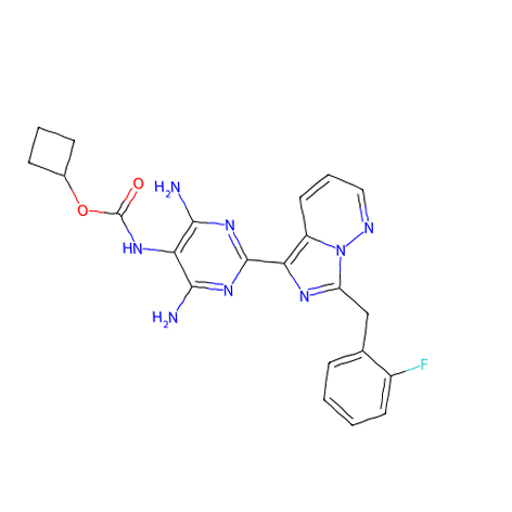 Nc1nc(-c2nc(Cc3ccccc3F)n3ncccc23)nc(N)c1NC(=O)OC1CCC1